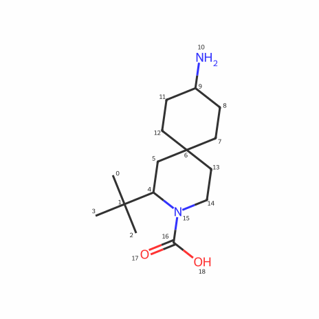 CC(C)(C)C1CC2(CCC(N)CC2)CCN1C(=O)O